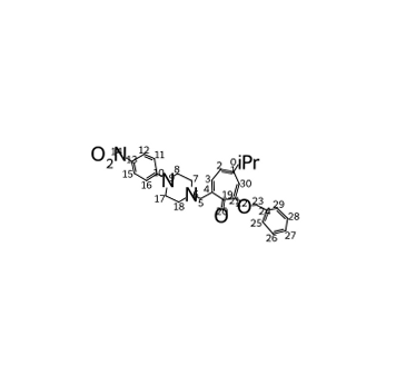 CC(C)c1ccc(CN2CCN(c3ccc([N+](=O)[O-])cc3)CC2)c(=O)c(OCc2ccccc2)c1